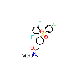 CON(C)C(=O)C[C@H]1CC[C@@](c2cc(F)ccc2F)(S(=O)(=O)c2ccc(Cl)cc2)CC1